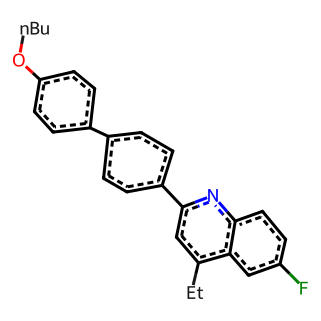 CCCCOc1ccc(-c2ccc(-c3cc(CC)c4cc(F)ccc4n3)cc2)cc1